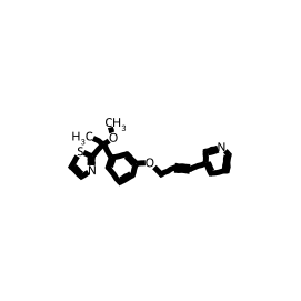 COC(C)(c1cccc(OCC#Cc2cccnc2)c1)c1nccs1